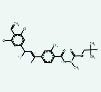 C=Cc1c(Cl)cc(C(/C=C(\F)c2ccc(C(=O)NN(C)C(=O)NCC(C)(C)F)c(C(F)(F)F)c2)C(F)(F)F)cc1Cl